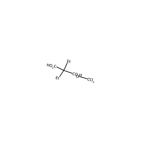 CCC(CC)(C(=O)O)C(=O)O.ClC(Cl)(Cl)Cl